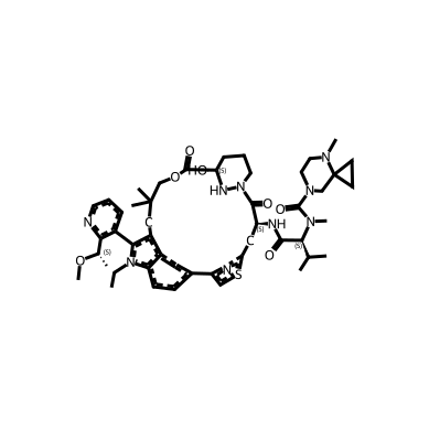 CCn1c(-c2cccnc2[C@H](C)OC)c2c3cc(ccc31)-c1csc(n1)C[C@H](NC(=O)[C@H](C(C)C)N(C)C(=O)N1CCN(C)C3(CC3)C1)C(=O)N1CCC[C@@](O)(N1)C(=O)OCC(C)(C)C2